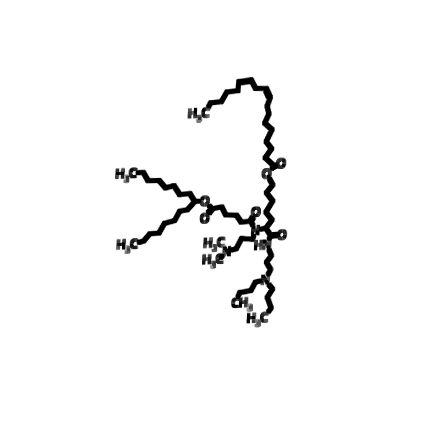 CCCCC/C=C\C/C=C\CCCCCCCC(=O)OCCCCCC(C(=O)NCCCN(CCCC)CCCC)N(CCCN(C)C)C(=O)CCCCC(=O)OC(CCCCCCCC)CCCCCCCC